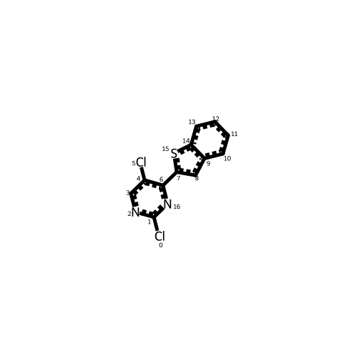 Clc1ncc(Cl)c(-c2cc3ccccc3s2)n1